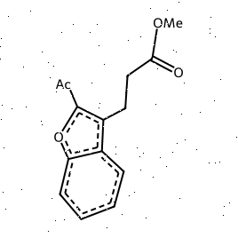 COC(=O)CCc1c(C(C)=O)oc2ccccc12